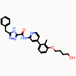 Cc1c(OCCCCO)cccc1-c1ccnc(NC(=O)c2nnc(Cc3ccccc3)[nH]2)c1